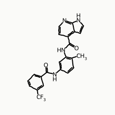 Cc1ccc(NC(=O)c2cccc(C(F)(F)F)c2)cc1NC(=O)c1ccnc2[nH]ccc12